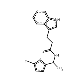 CC(NC(=O)CCc1c[nH]c2ccccc12)c1ccc(Cl)s1